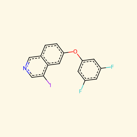 Fc1cc(F)cc(Oc2ccc3cncc(I)c3c2)c1